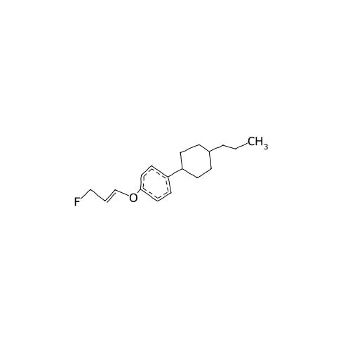 CCCC1CCC(c2ccc(O/C=C/CF)cc2)CC1